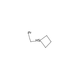 CC(C)C[SiH]1CCC1